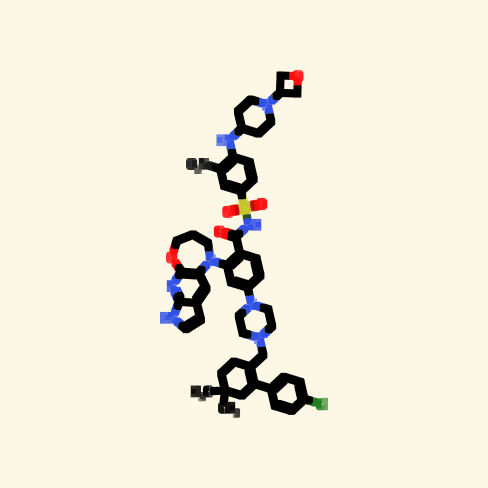 CC1(C)CCC(CN2CCN(c3ccc(C(=O)NS(=O)(=O)c4ccc(NC5CCN(C6COC6)CC5)c([N+](=O)[O-])c4)c(N4CCCOc5nc6[nH]ccc6cc54)c3)CC2)=C(c2ccc(Cl)cc2)C1